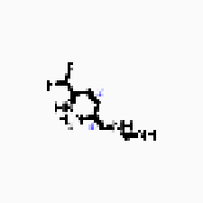 N=CN/C=C(N)\C=C/C(=N)C(F)F